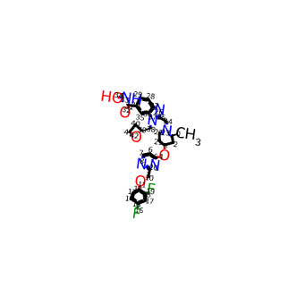 C[C@H]1C[C@@H](Oc2ccnc(COc3ccc(F)cc3F)n2)CCN1Cc1nc2ccc(C(=O)NO)cc2n1C[C@@H]1CCO1